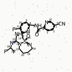 N#Cc1ccc(C(=O)Nc2ccc(F)c(CS3(=O)=NCCCCN3/C(N)=N\C(F)F)n2)nc1